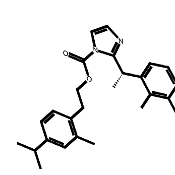 Cc1cc(C(C)C)ccc1CCOC(=O)n1ccnc1[C@@H](C)c1cccc(C)c1C